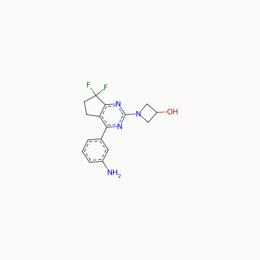 Nc1cccc(-c2nc(N3CC(O)C3)nc3c2CCC3(F)F)c1